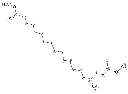 COC(=O)CCCCCCCCCCCCCCC(C)CCC(=O)OC